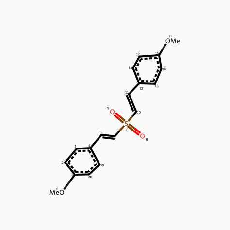 COc1ccc(C=CS(=O)(=O)C=Cc2ccc(OC)cc2)cc1